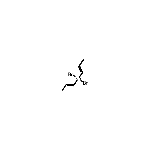 CC=[CH][Sn]([Br])([Br])[CH]=CC